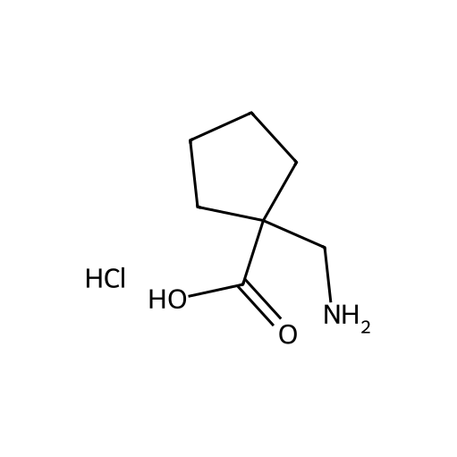 Cl.NCC1(C(=O)O)CCCC1